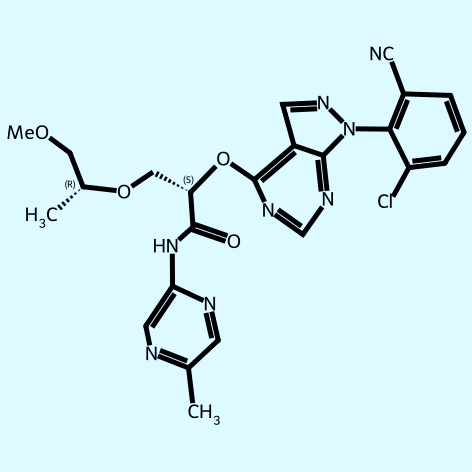 COC[C@@H](C)OC[C@H](Oc1ncnc2c1cnn2-c1c(Cl)cccc1C#N)C(=O)Nc1cnc(C)cn1